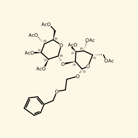 CC(=O)OC[C@@H]1O[C@H](OCCOCc2ccccc2)[C@@H](O[C@H]2O[C@H](COC(C)=O)[C@@H](OC(C)=O)[C@H](OC(C)=O)[C@@H]2OC(C)=O)[C@@H](OC(C)=O)[C@@H]1OC(C)=O